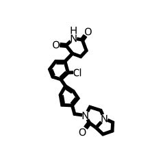 O=C1CCC(c2cccc(-c3ccc(CN4CCN5CCCC5C4=O)cc3)c2Cl)C(=O)N1